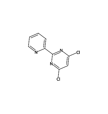 Clc1cc(Cl)nc(-c2ccccn2)n1